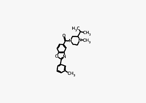 Cc1cccc(-c2nc3cc(C(=O)N4CCN(C)C(C(C)C)C4)ccc3o2)c1